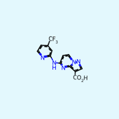 O=C(O)c1cnn2ccc(Nc3cc(C(F)(F)F)ccn3)nc12